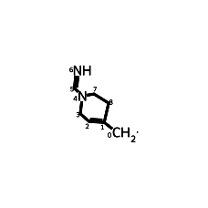 [CH2]C1=CCN(C=N)CC1